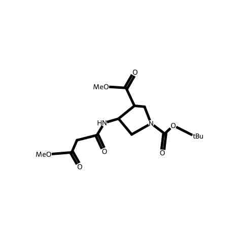 COC(=O)CC(=O)NC1CN(C(=O)OC(C)(C)C)CC1C(=O)OC